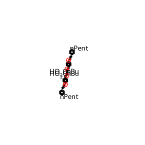 CCCCC[C@H]1CC[C@H](C=CCOc2ccc(CO[C@@](CCCC)(C(=O)O)[C@@](CCCC)(OCc3ccc(OCC=C[C@H]4CC[C@H](CCCCC)CC4)cc3)C(=O)O)cc2)CC1